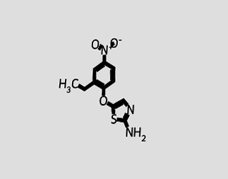 CCc1cc([N+](=O)[O-])ccc1Oc1cnc(N)s1